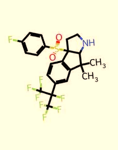 CC1(C)c2cc(C(F)(C(F)(F)F)C(F)(F)F)ccc2C2(S(=O)(=O)c3ccc(F)cc3)CCNC12